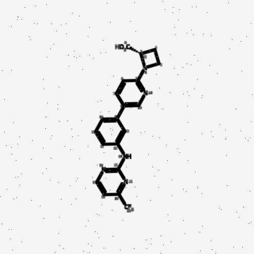 O=C(O)[C@@H]1CCN1c1ccc(-c2cccc(Nc3nccc(C(F)(F)F)n3)c2)cn1